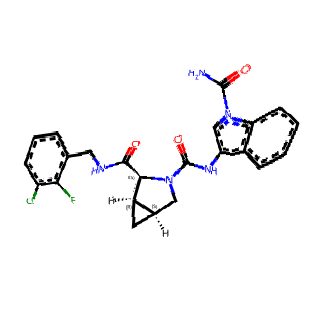 NC(=O)n1cc(NC(=O)N2C[C@H]3C[C@H]3[C@H]2C(=O)NCc2cccc(Cl)c2F)c2ccccc21